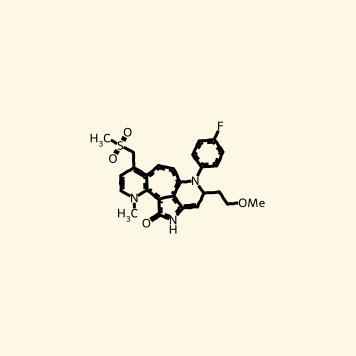 COCCC1C=c2[nH]c(=O)c3c4c(ccc(c2-3)N1c1ccc(F)cc1)=C(CS(C)(=O)=O)C=CN4C